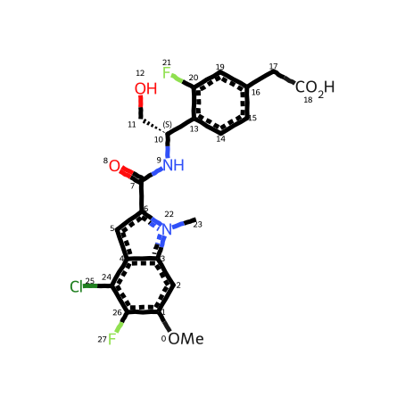 COc1cc2c(cc(C(=O)N[C@H](CO)c3ccc(CC(=O)O)cc3F)n2C)c(Cl)c1F